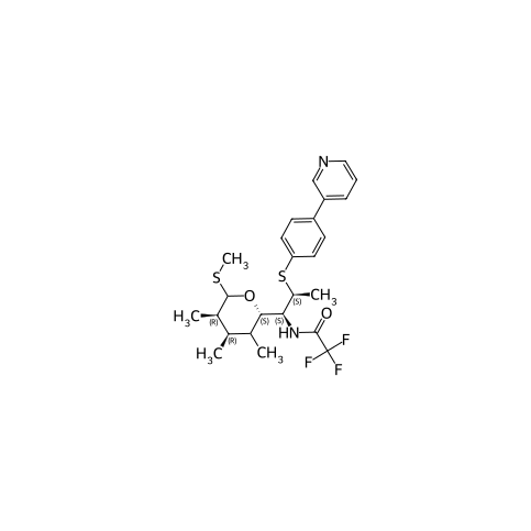 CSC1O[C@H]([C@H](NC(=O)C(F)(F)F)[C@H](C)Sc2ccc(-c3cccnc3)cc2)C(C)[C@@H](C)[C@H]1C